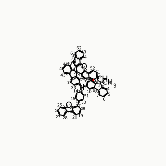 CC1(C)c2ccccc2-c2cc(N(c3ccc(-c4cccc5c4oc4ccccc45)cc3)c3ccc4c(c3)C3(c5ccccc5-4)c4ccc5ccccc5c4Oc4c3ccc3ccccc43)ccc21